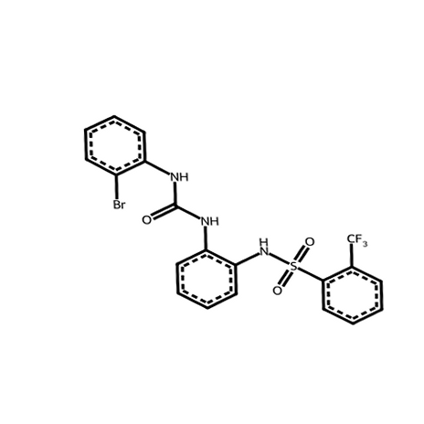 O=C(Nc1ccccc1Br)Nc1ccccc1NS(=O)(=O)c1ccccc1C(F)(F)F